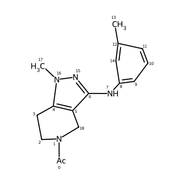 CC(=O)N1CCc2c(c(Nc3cccc(C)c3)nn2C)C1